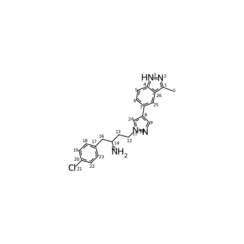 Cc1n[nH]c2ccc(-c3cnn(CCC(N)Cc4ccc(Cl)cc4)c3)cc12